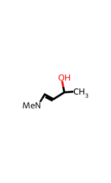 CNC=CC(C)O